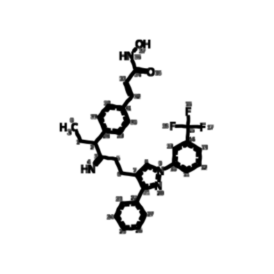 CCC(C(=N)CCc1cn(-c2cccc(C(F)(F)F)c2)nc1-c1ccccc1)c1ccc(/C=C/C(=O)NO)cc1